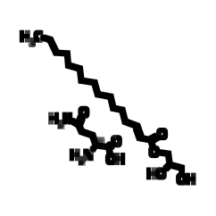 CCCCCCCCCCCCCC=CC(=O)OCC(O)CO.NC(=O)CC[C@H](N)C(=O)O